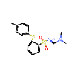 Cc1ccc(Sc2ccccc2S(=O)(=O)/N=C/N(C)C)cc1